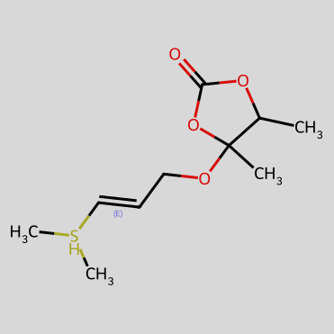 CC1OC(=O)OC1(C)OC/C=C/[SH](C)C